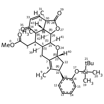 COC(=O)CC1[C@@H]2CC3=C(C)[C@H](c4ccccc4O[Si](C)(C)C(C)(C)C)C[C@H]3O[C@@H]2[C@@H]2OC(=O)[C@]3(C)C=CC(=O)[C@@]1(C)[C@@H]23